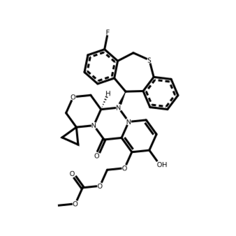 COC(=O)OCOC1=C2C(=O)N3[C@@H](COCC34CC4)N([C@@H]3c4ccccc4SCc4c(F)cccc43)N2C=CC1O